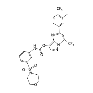 Cc1cc(-c2cc(C(F)(F)F)n3ncc(OC(=O)Nc4cccc(S(=O)(=O)N5CCOCC5)c4)c3n2)ccc1C(F)(F)F